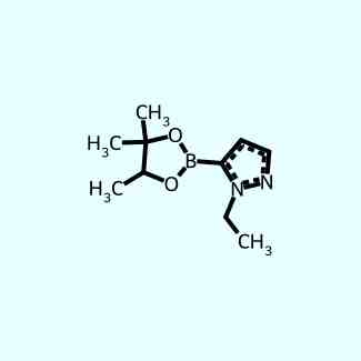 CCn1nccc1B1OC(C)C(C)(C)O1